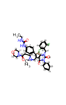 CCNC(=O)Nc1ccc(-c2sc3c(c2CN(C)CCC(=O)N2CCOCC2)c(=O)n(-c2ccccc2)c(=O)n3Cc2c(F)cccc2F)cc1